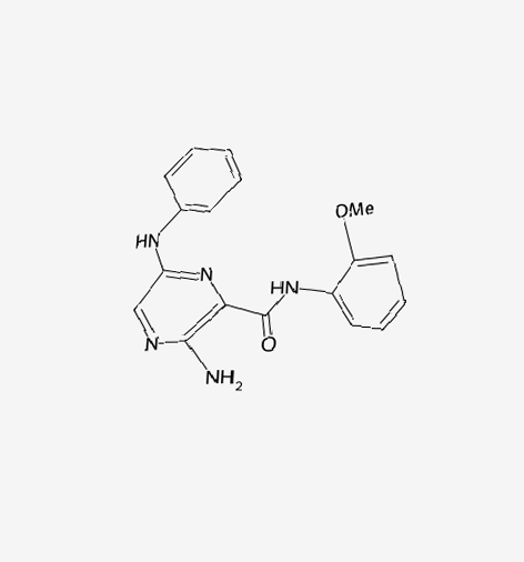 COc1ccccc1NC(=O)c1nc(Nc2ccccc2)cnc1N